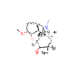 [2H]C1([2H])C[C@H]2[C@@H]3N(C)CC[C@@]24c2c(ccc(OC)c2OC4([2H])C1=O)C3([2H])[2H]